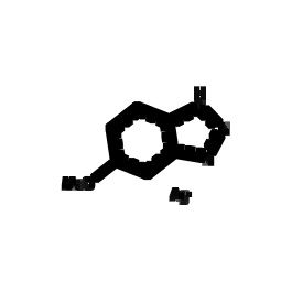 COc1ccc2[nH]nnc2c1.[Ag]